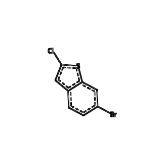 Clc1cc2ccc(Br)cc2s1